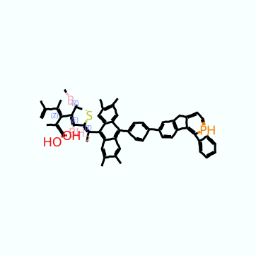 BC(/C(SC)=C(\C)c1c2cc(C)c(C)cc2c(-c2ccc(-c3ccc4c(c3)CC3=CC=[PH]5C(=C34)c3ccccc35)cc2)c2cc(C)c(C)cc12)=C(C(/C)=B\C)\C(C(C)=C(O)O)=C(/C)C(=C)C